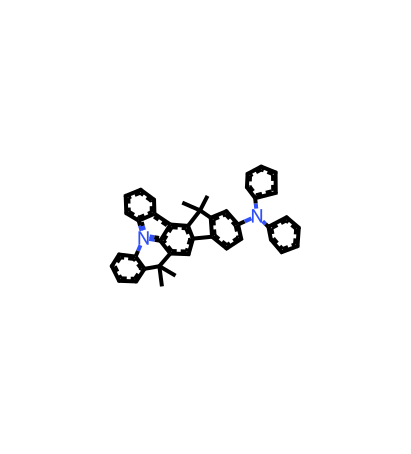 CC1(C)c2cc(N(c3ccccc3)c3ccccc3)ccc2-c2cc3c4c(c21)c1ccccc1n4-c1ccccc1C3(C)C